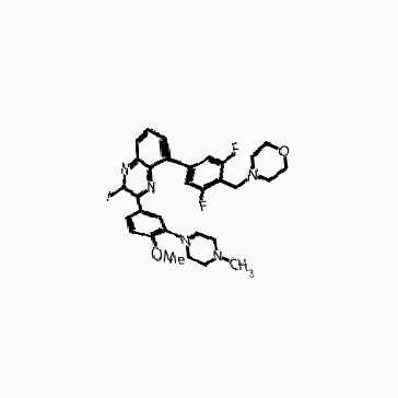 COc1ccc(C2N=c3c(-c4cc(F)c(CN5CCOCC5)c(F)c4)cccc3=NC2I)cc1N1CCN(C)CC1